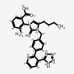 CCCCc1cn(-c2c(C)cccc2C(=O)O)c(=O)n1Cc1ccc(-c2ncccc2-c2nnn[nH]2)cc1